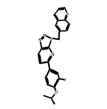 CC(C)Oc1ccc(-c2ccc3nnn(Cc4ccc5ncccc5c4)c3n2)cc1F